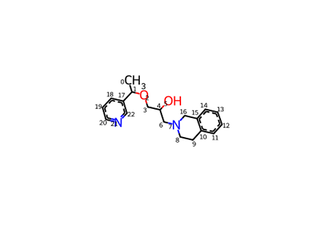 CC(OCC(O)CN1CCc2ccccc2C1)c1cccnc1